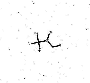 [2H]C[S+]([O-])C([2H])([2H])[2H]